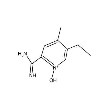 CCc1c[n+](O)c(C(=N)N)cc1C